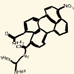 CCCCCCC(CCCCCC)NC(=O)c1ccc2c3cccc4c([N+](=O)[O-])ccc(c5ccc(C(N)=O)c1c52)c43